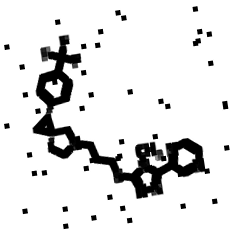 Cn1c(SCCCN2CC[C@@]3(C[C@@H]3c3ccc(C(F)(F)F)cc3)C2)nnc1-c1cnccn1